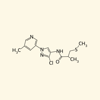 CSCC(C)C(=O)Nc1cn(-c2cncc(C)c2)nc1Cl